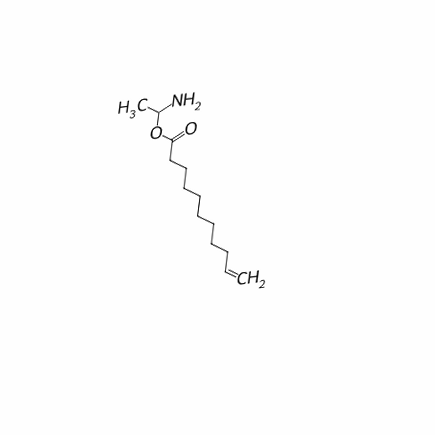 C=CCCCCCCCCC(=O)OC(C)N